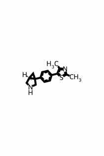 Cc1nc(C)c(-c2ccc(C34CNC[C@H]3C4)cc2)s1